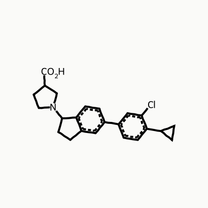 O=C(O)C1CCN(C2CCc3cc(-c4ccc(C5CC5)c(Cl)c4)ccc32)C1